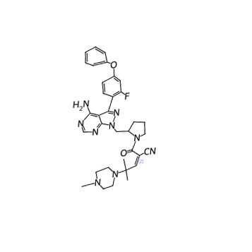 CN1CCN(C(C)(C)/C=C(/C#N)C(=O)N2CCCC2Cn2nc(-c3ccc(Oc4ccccc4)cc3F)c3c(N)ncnc32)CC1